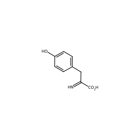 N=C([CH]c1ccc(O)cc1)C(=O)O